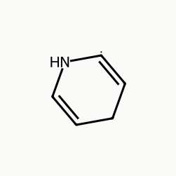 [C]1=CCC=CN1